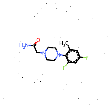 Cc1cc(F)cc(F)c1N1CCN(CC(N)=O)CC1